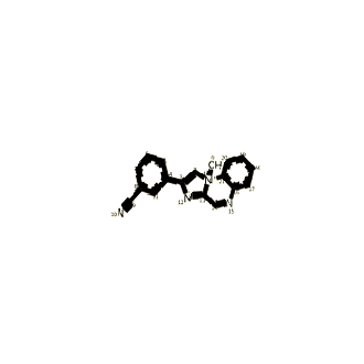 C[N+]12C=C(c3cccc(C#N)c3)N=C1C=Nc1ccccc12